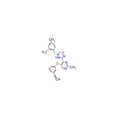 C#Cc1cccc(Oc2cnc(C)nc2C2=NOC[C@@H](Cc3ccc(C)cc3C)N2)c1